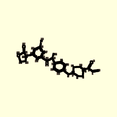 C=CC(=O)N1CCN(Cc2ccc([C@H](C)Nc3nc(F)cc(N4CCOC4=O)n3)cc2)CC1